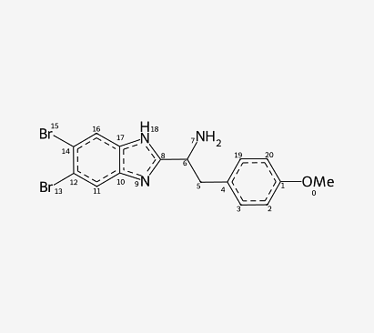 COc1ccc(CC(N)c2nc3cc(Br)c(Br)cc3[nH]2)cc1